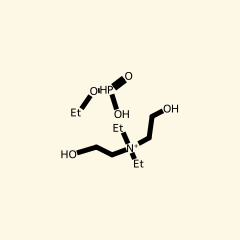 CCO[PH](=O)O.CC[N+](CC)(CCO)CCO